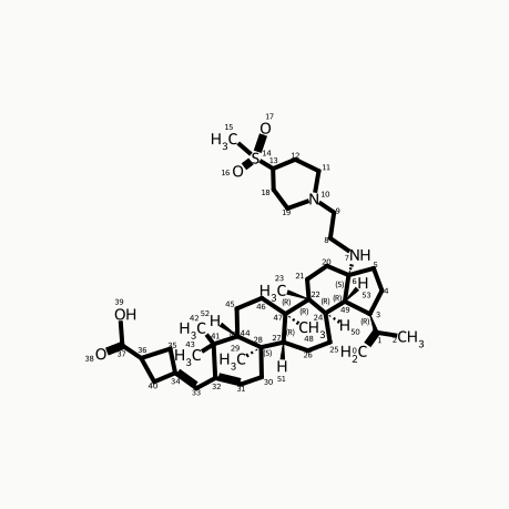 C=C(C)[C@@H]1CC[C@]2(NCCN3CCC(S(C)(=O)=O)CC3)CC[C@]3(C)[C@H](CC[C@@H]4[C@@]5(C)CC=C(C=C6CC(C(=O)O)C6)C(C)(C)[C@@H]5CC[C@]43C)[C@@H]12